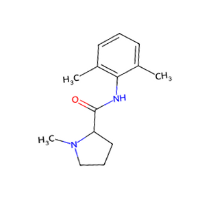 Cc1cccc(C)c1NC(=O)C1CCCN1C